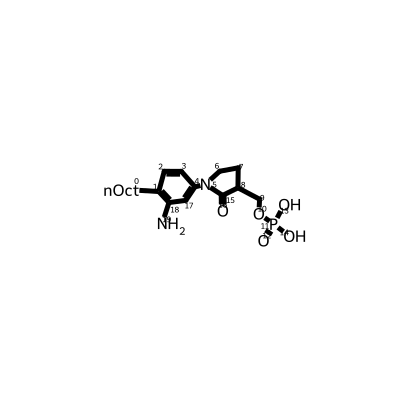 CCCCCCCCc1ccc(N2CCC(COP(=O)(O)O)C2=O)cc1N